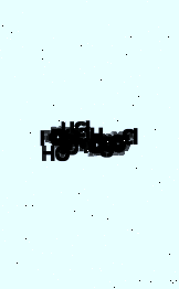 Cl.O=C(O)c1cc(F)ccc1OC[C@H](O)CN1CCC2(CC1)Cc1cc(Cl)ccc1O2